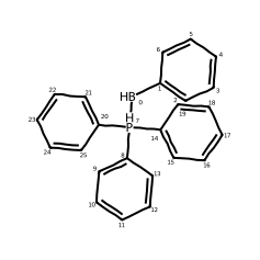 B(c1ccccc1)[PH](c1ccccc1)(c1ccccc1)c1ccccc1